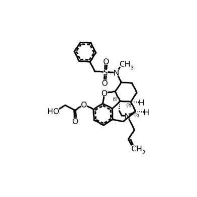 C=CCN1CC[C@]23c4c5ccc(OC(=O)CO)c4OC2C(N(C)S(=O)(=O)Cc2ccccc2)CC[C@H]3[C@H]1C5